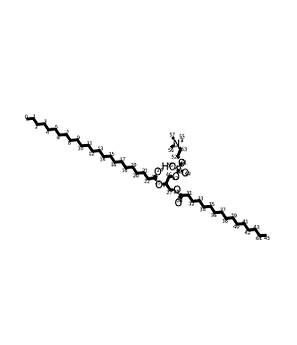 CCCCCCCCCCCCCCCCCCCCCCCC(=O)OC(COC(=O)CCCCCCCCCCCCCCC)COP(=O)(O)OCC[N+](C)(C)C